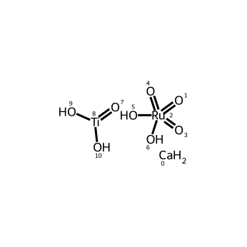 [CaH2].[O]=[Ru](=[O])(=[O])([OH])[OH].[O]=[Ti]([OH])[OH]